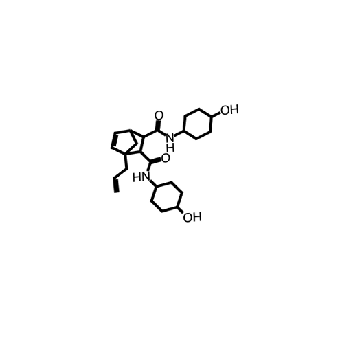 C=CCC12C=CC(C1)C(C(=O)NC1CCC(O)CC1)C2C(=O)NC1CCC(O)CC1